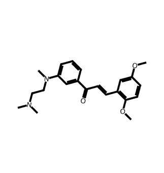 COc1ccc(OC)c(C=CC(=O)c2cccc(N(C)CCN(C)C)c2)c1